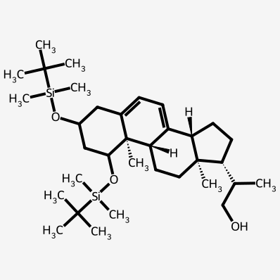 CC(CO)[C@H]1CC[C@H]2C3=CC=C4CC(O[Si](C)(C)C(C)(C)C)CC(O[Si](C)(C)C(C)(C)C)[C@]4(C)[C@H]3CC[C@]12C